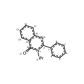 CC(C)n1c(-c2ccccc2)nc2ccccc2c1=O